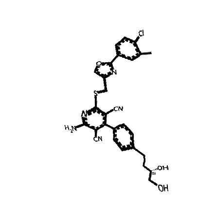 Cc1cc(-c2nc(CSc3nc(N)c(C#N)c(-c4ccc(CC[C@H](O)CO)cc4)c3C#N)co2)ccc1Cl